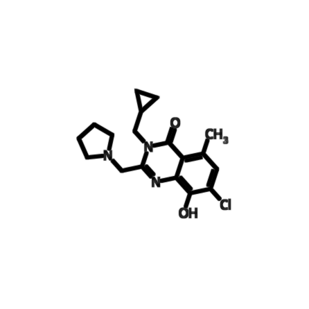 Cc1cc(Cl)c(O)c2nc(CN3CCCC3)n(CC3CC3)c(=O)c12